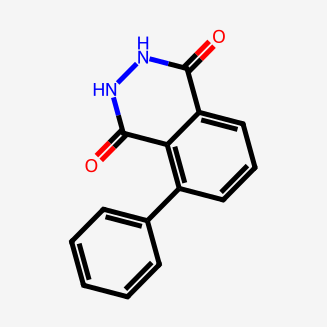 O=c1[nH][nH]c(=O)c2c(-c3ccccc3)cccc12